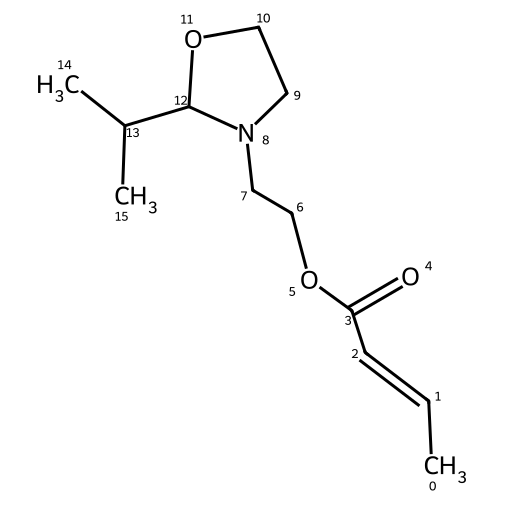 C/C=C/C(=O)OCCN1CCOC1C(C)C